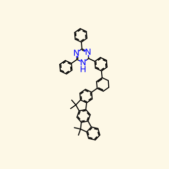 CC1(C)c2ccccc2-c2cc3c(cc21)C(C)(C)c1ccc(C2=CCCC(c4cccc(C5N=C(c6ccccc6)N=C(c6ccccc6)N5)c4)=C2)cc1-3